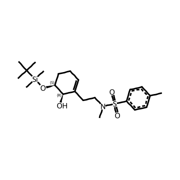 Cc1ccc(S(=O)(=O)N(C)CCC2=CCC[C@H](O[Si](C)(C)C(C)(C)C)[C@@H]2O)cc1